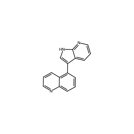 c1cc(-c2c[nH]c3ncccc23)c2cccnc2c1